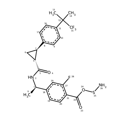 C[C@@H](NC(=O)[C@@H]1C[C@H]1c1ccc(C(C)(C)C(F)(F)F)cc1)c1ccc(C(=O)OSN)c(F)c1